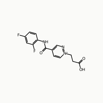 O=C(O)CC[n+]1ccc(C(=O)Nc2ccc(F)cc2F)cn1